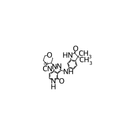 CC1(C)C(=O)Nc2cc(Nc3nn(C4COCC[C@@H]4C#N)c4cc[nH]c(=O)c34)ccc21